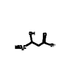 CCOC(=O)C(O)CC(=O)[C](C)C